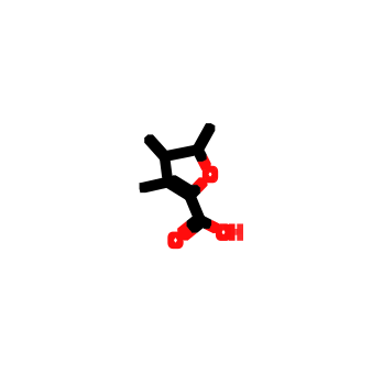 CC1=C(C(=O)O)OC(C)C1C